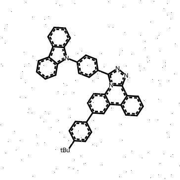 CC(C)(C)c1ccc(-c2ccc3c(c2)c2ccccc2c2nnc(-c4ccc(-n5c6ccccc6c6ccccc65)cc4)n32)cc1